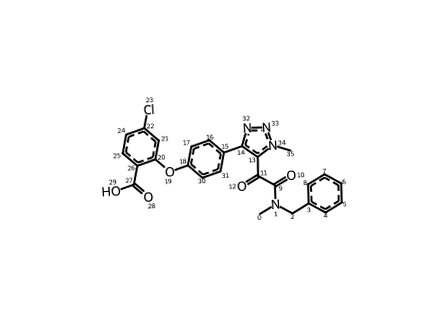 CN(Cc1ccccc1)C(=O)C(=O)c1c(-c2ccc(Oc3cc(Cl)ccc3C(=O)O)cc2)nnn1C